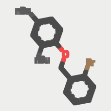 CCCCc1ccc(OCc2ccccc2Br)c(CCCC)c1